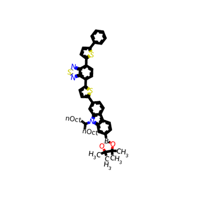 CCCCCCCCC(CCCCCCCC)n1c2cc(B3OC(C)(C)C(C)(C)O3)ccc2c2ccc(-c3ccc(-c4ccc(-c5ccc(-c6ccccc6)s5)c5nsnc45)s3)cc21